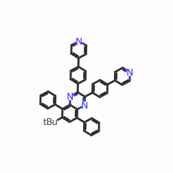 CC(C)(C)c1cc(-c2ccccc2)c2nc(-c3ccc(-c4ccncc4)cc3)c(-c3ccc(-c4ccncc4)cc3)nc2c1-c1ccccc1